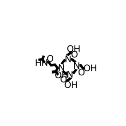 C=C(O)C(CCC(=O)NC(C)C)N1CCN(CC(=O)O)CCN(CC(=O)O)CCN(CC(=O)O)CC1